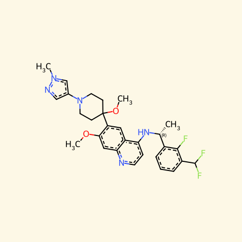 COc1cc2nccc(N[C@H](C)c3cccc(C(F)F)c3F)c2cc1C1(OC)CCN(c2cnn(C)c2)CC1